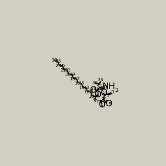 C#CC[C@H]1C(=O)O[C@@H]1C[C@H](CCCCCCCCCCCCCCCCC)OC(=O)[C@H](C(N)=O)C(C)C